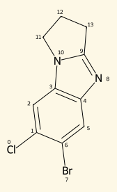 Clc1cc2c(cc1Br)nc1n2CCC1